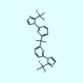 CC(C)(c1cccc(-n2ccnc2C(F)(F)F)n1)c1cccc(-n2ccnc2C(F)(F)F)n1